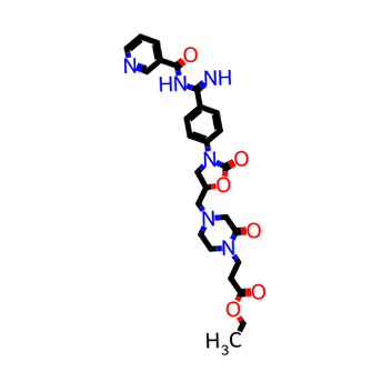 CCOC(=O)CCN1CCN(CC2CN(c3ccc(C(=N)NC(=O)c4cccnc4)cc3)C(=O)O2)CC1=O